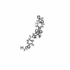 COc1ccc(COCC(OC(=O)N2CCC3(CC2)CC(=O)CO3)C(F)(F)F)cc1